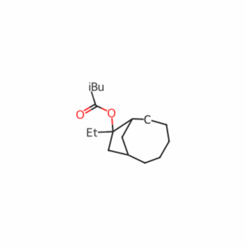 CCC(C)C(=O)OC1(CC)CC2CCCCCC1C2